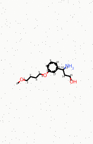 COCCCCOc1cccc(C(N)CCO)c1